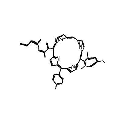 C=C/C=C(C)\C=C(\C)C(=C)c1c2nc(c(-c3ccc(C)cc3)c3ccc([nH]3)c(-c3c(C)cc(C)cc3C)c3nc(cc4ccc1[nH]4)C=C3)C=C2